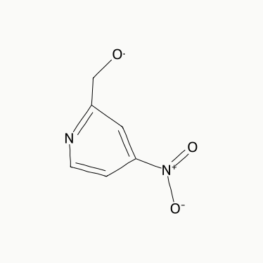 [O]Cc1cc([N+](=O)[O-])ccn1